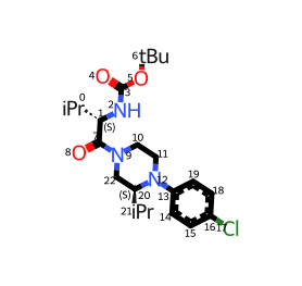 CC(C)[C@H](NC(=O)OC(C)(C)C)C(=O)N1CCN(c2ccc(Cl)cc2)[C@@H](C(C)C)C1